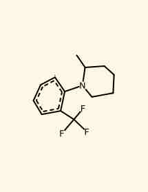 CC1CCCCN1c1[c]cccc1C(F)(F)F